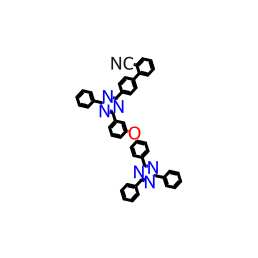 N#Cc1ccccc1-c1ccc(-c2nc(-c3ccccc3)nc(-c3cccc(Oc4ccc(-c5nc(-c6ccccc6)nc(-c6ccccc6)n5)cc4)c3)n2)cc1